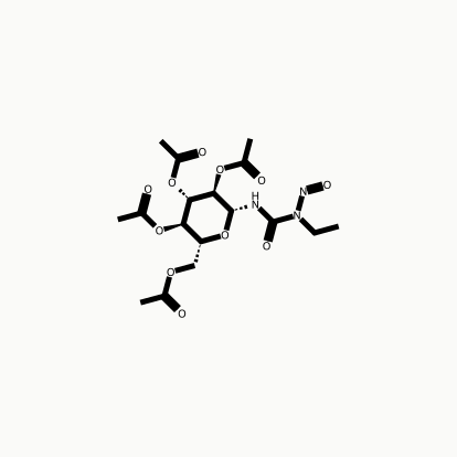 CCN(N=O)C(=O)N[C@@H]1O[C@H](COC(C)=O)[C@@H](OC(C)=O)[C@H](OC(C)=O)[C@H]1OC(C)=O